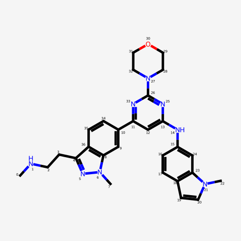 CNCCc1nn(C)c2cc(-c3cc(Nc4ccc5ccn(C)c5c4)nc(N4CCOCC4)n3)ccc12